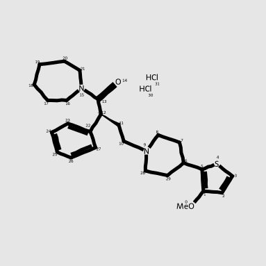 COc1ccsc1C1CCN(CC[C@H](C(=O)N2CCCCCC2)c2ccccc2)CC1.Cl.Cl